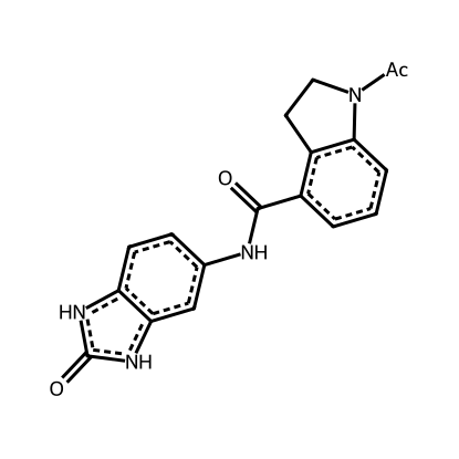 CC(=O)N1CCc2c(C(=O)Nc3ccc4[nH]c(=O)[nH]c4c3)cccc21